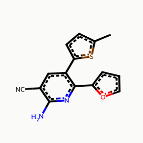 Cc1ccc(-c2cc(C#N)c(N)nc2-c2ccco2)s1